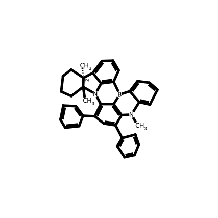 CN1c2ccccc2B2c3cccc4c3N(c3c(-c5ccccc5)cc(-c5ccccc5)c1c32)C1(C)CCCC[C@@]41C